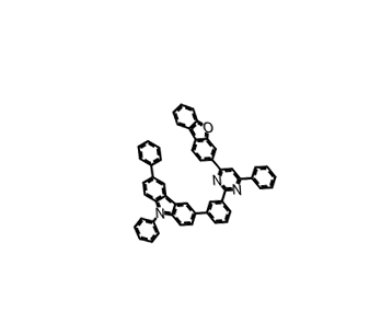 c1ccc(-c2ccc3c(c2)c2cc(-c4cccc(-c5nc(-c6ccccc6)cc(-c6ccc7c(c6)oc6ccccc67)n5)c4)ccc2n3-c2ccccc2)cc1